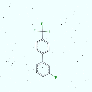 Fc1cccc(-c2ccc(C(F)(F)F)cc2)c1